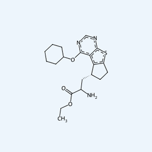 CCOC(=O)C(N)C[C@H]1CCc2sc3ncnc(OC4CCCCC4)c3c21